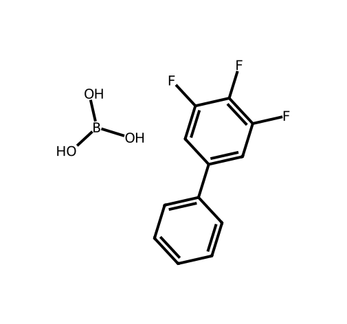 Fc1cc(-c2ccccc2)cc(F)c1F.OB(O)O